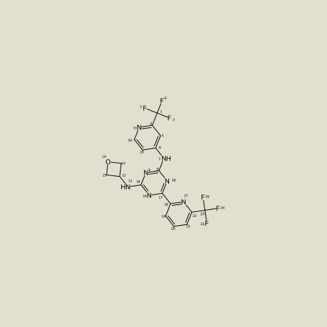 FC(F)(F)c1cc(Nc2nc(NC3COC3)nc(-c3cccc(C(F)(F)F)n3)n2)ccn1